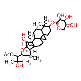 CC(=O)OC(C1C[C@@H](C)[C@H]2C(O1)[C@H](O)[C@@]1(C)C3CCC4C(C)(C)C(O[C@@H]5OC[C@@H](O)C(O)[C@H]5O)CCC45CC35CCC21C)C(C)(C)O